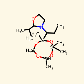 CCC(N1CCOC1C(C)C)[Si]1(C)O[SiH2]O[SiH](C)O[Si](C)(C)O1